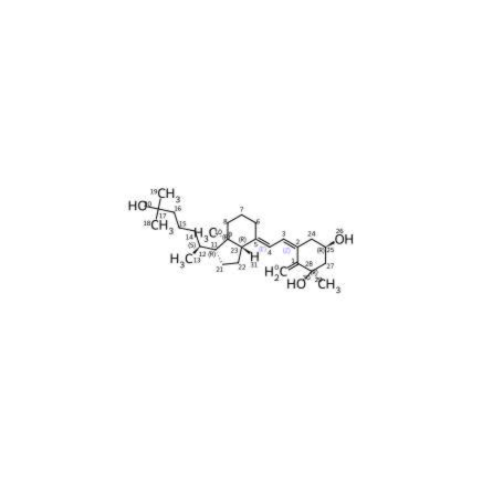 C=C1/C(=C\C=C2/CCC[C@]3(C)[C@@H]([C@@H](C)CCCC(C)(C)O)CC[C@@H]23)C[C@@H](O)C[C@@]1(C)O